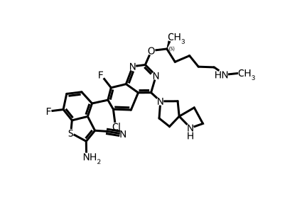 CNCCCC[C@H](C)Oc1nc(N2CCC3(CCN3)C2)c2cc(Cl)c(-c3ccc(F)c4sc(N)c(C#N)c34)c(F)c2n1